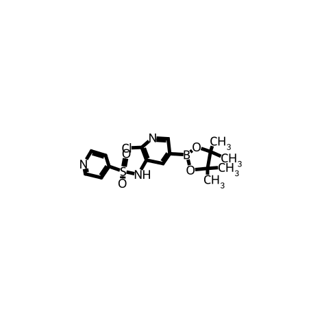 CC1(C)OB(c2cnc(Cl)c(NS(=O)(=O)c3ccncc3)c2)OC1(C)C